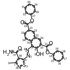 Cc1nsc(/N=N/c2c(O)c(C(=O)Oc3ccccc3)cc3cc(C(=O)Oc4ccccc4)ccc23)c1C(N)=O